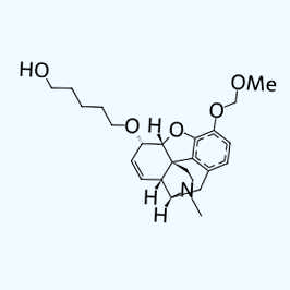 COCOc1ccc2c3c1O[C@H]1[C@@H](OCCCCCO)C=C[C@H]4[C@@H](C2)N(C)CC[C@@]341